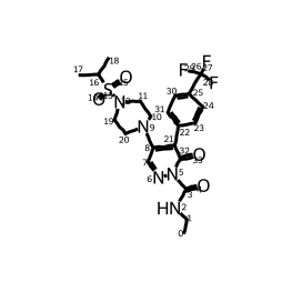 CCNC(=O)n1ncc(N2CCN(S(=O)(=O)C(C)C)CC2)c(-c2ccc(C(F)(F)F)cc2)c1=O